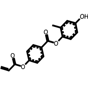 C=CC(=O)Oc1ccc(C(=O)Oc2ccc(O)cc2C)cc1